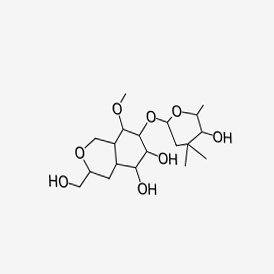 COC1C2COC(CO)CC2C(O)C(O)C1OC1CC(C)(C)C(O)C(C)O1